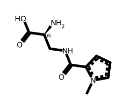 Cn1cccc1C(=O)NC[C@H](N)C(=O)O